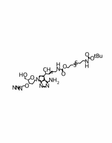 CC(/C=C/CNC(=O)OCCSSCCNC(=O)OC(C)(C)C)c1cn([C@H]2CC(OCN=[N+]=[N-])[C@@H](CO)O2)c2ncnc(N)c12